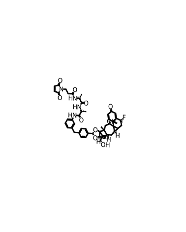 C[C@H](NC(=O)CCN1C(=O)C=CC1=O)C(=O)N[C@@H](C)C(=O)Nc1cccc(Cc2ccc(C3O[C@@H]4C[C@H]5C[C@H]6C7C[C@H](F)C8=CC(=O)C=CC8(C)C76C(O)CC5(C)C4(C(=O)CO)O3)cc2)c1